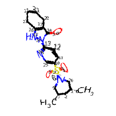 C[C@@H]1C[C@H](C)CN(S(=O)(=O)c2ccc(-n3[nH]c4c(c3=O)CCCC4)nc2)C1